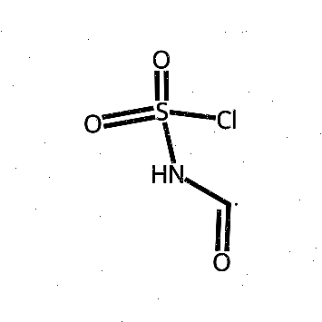 O=[C]NS(=O)(=O)Cl